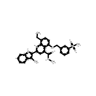 CCc1ccc(OCc2cccc(S(C)(=O)=O)c2)c2c(C(=O)OC)cc(-c3oc4ccccc4c3C)nc12